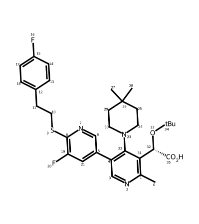 Cc1ncc(-c2cnc(SCCc3ccc(F)cc3)c(F)c2)c(N2CCC(C)(C)CC2)c1[C@H](OC(C)(C)C)C(=O)O